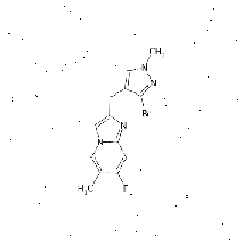 Cc1cn2cc(Cc3cn(C)nc3Br)nc2cc1F